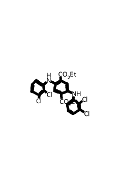 CCOC(=O)c1cc(Nc2cccc(Cl)c2Cl)c(C(=O)OCC)cc1Nc1cccc(Cl)c1Cl